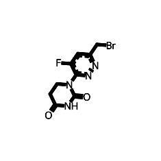 O=C1CCN(c2nnc(CBr)cc2F)C(=O)N1